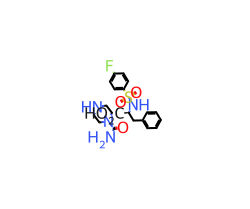 NC(=O)N1CCNCC1.O=C(O)[C@H](Cc1ccccc1)NS(=O)(=O)c1ccc(F)cc1